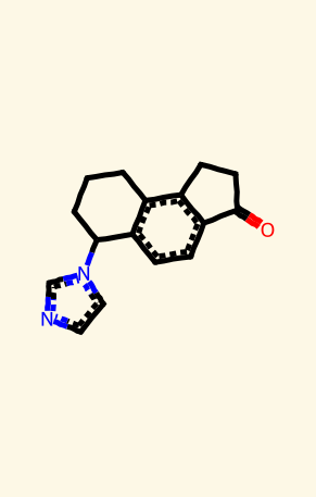 O=C1CCc2c1ccc1c2CCCC1n1ccnc1